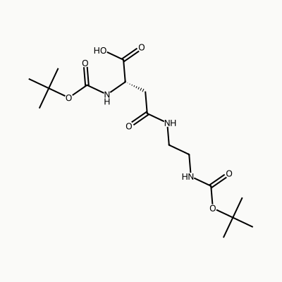 CC(C)(C)OC(=O)NCCNC(=O)C[C@H](NC(=O)OC(C)(C)C)C(=O)O